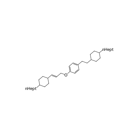 CCCCCCCC1CCC(C=CCOc2ccc(CCC3CCC(CCCCCCC)CC3)cc2)CC1